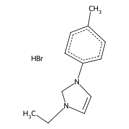 Br.CCN1C=CN(c2ccc(C)cc2)C1